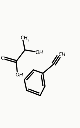 C#Cc1ccccc1.CC(O)C(=O)O